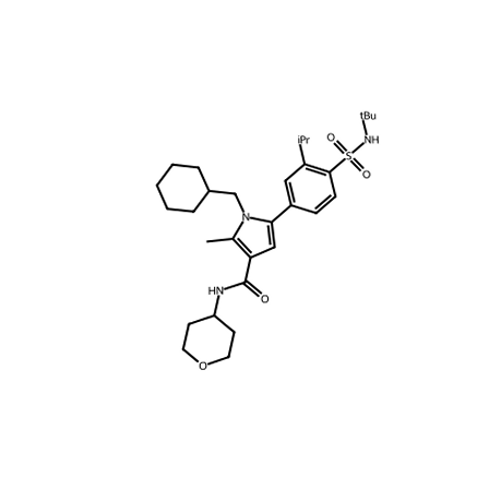 Cc1c(C(=O)NC2CCOCC2)cc(-c2ccc(S(=O)(=O)NC(C)(C)C)c(C(C)C)c2)n1CC1CCCCC1